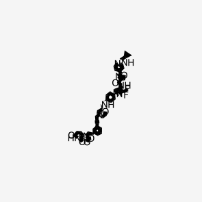 O=C1CCC(N2C[C@H](c3cccc(C#CCN4CCO[C@@H](CNC[C@H]5CC[C@H](n6cc(NC(=O)c7coc(-c8ccnc(NCC9CC9)c8)n7)c(C(F)F)n6)CC5)C4)c3)OC2=O)C(=O)N1